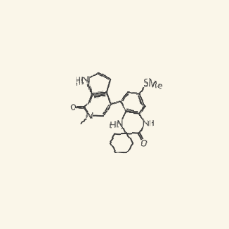 CSc1cc2c(c(-c3cn(C)c(=O)c4[nH]ccc34)c1)NC1(CCCCC1)C(=O)N2